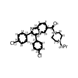 CCCN1CCN(C(=O)c2ccc3nc(-c4ccc(Cl)cc4)c(-c4ccc(Cl)cc4)n3c2)CC1